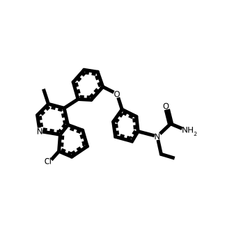 CCN(C(N)=O)c1cccc(Oc2cccc(-c3c(C)cnc4c(Cl)cccc34)c2)c1